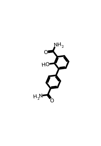 NC(=O)c1ccc(-c2cccc(C(N)=O)c2O)cc1